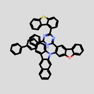 c1ccc(-c2ccc(C3N=C(c4cccc5sc6ccccc6c45)N=C(c4cc5c(cc4-n4c6cc7ccccc7cc6c6cc7ccccc7cc64)oc4ccccc45)N3)cc2)cc1